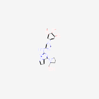 COc1cc(-n2cnc(Nc3nc(N4CCCC4CO)c4cccn4n3)c2)cc(OC)c1OC